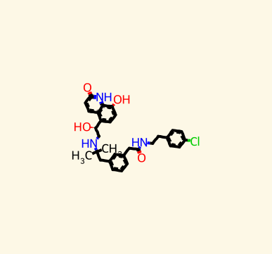 CC(C)(Cc1cccc(CC(=O)NCCc2ccc(Cl)cc2)c1)NC[C@H](O)c1ccc(O)c2[nH]c(=O)ccc12